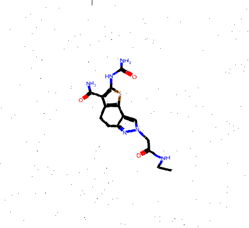 CCNC(=O)Cn1cc2c(n1)CCc1c-2sc(NC(N)=O)c1C(N)=O